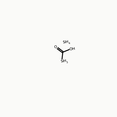 O=C(O)[SiH3].[SiH4]